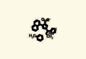 CCC(c1cnc[nH]1)n1cc(-c2cccc3ccccc23)c([N+](=O)[O-])c1.Cc1ccccc1